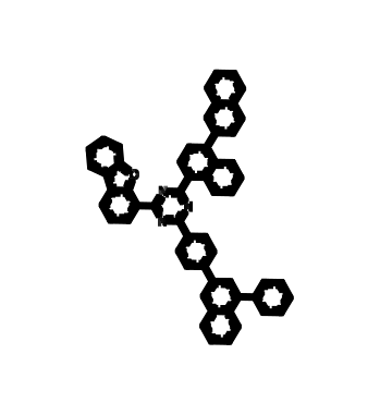 c1ccc(-c2cc(-c3ccc(-c4nc(-c5ccc(-c6ccc7ccccc7c6)c6ccccc56)nc(-c5cccc6c5oc5ccccc56)n4)cc3)cc3ccccc23)cc1